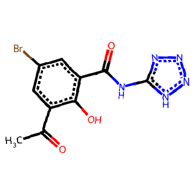 CC(=O)c1cc(Br)cc(C(=O)Nc2nnn[nH]2)c1O